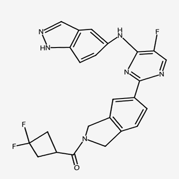 O=C(C1CC(F)(F)C1)N1Cc2ccc(-c3ncc(F)c(Nc4ccc5[nH]ncc5c4)n3)cc2C1